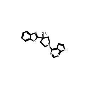 NC1(c2nc3ccccc3o2)CCN(c2ncnc3[nH]ccc23)CC1